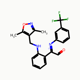 Cc1noc(C)c1CNc1ccccc1/C(C=O)=N/c1cccc(C(F)(F)F)c1